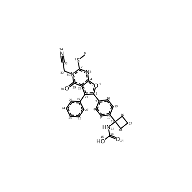 CSc1nc2oc(-c3ccc(C4(NC(=O)O)CCC4)cc3)c(-c3ccccc3)c2c(=O)n1CC#N